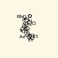 CCOP(=O)(OCC)C(C)(CSC(C)=O)OC[C@H]1O[C@@H](n2ncc3c(N(C(=O)OC(C)(C)C)C4CCCC4)nc(Cl)nc32)[C@@H]2OC(C)(C)O[C@@H]21